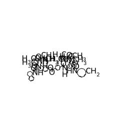 C=C1/C=C\C=C/C[C@H](NC(=O)[C@@H]2C[C@H](NC(=O)c3ccc(C(=O)Oc4ccc5c(c4)CN(C(=O)[C@@H](NC(=O)[C@H](C)NC)C(C)(C)C)[C@H](C(=O)N[C@@H]4CCCc6ccccc64)C5)cc3)CN2C(=O)[C@@H](NC(=O)[C@H](C)NC)C(C)(C)C)CCC1